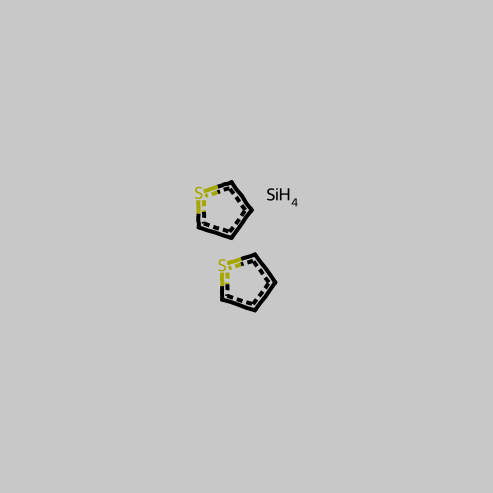 [SiH4].c1ccsc1.c1ccsc1